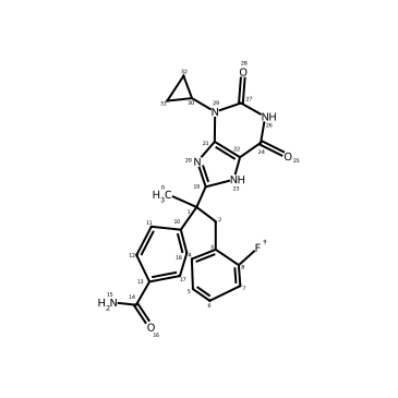 CC(Cc1ccccc1F)(c1ccc(C(N)=O)cc1)c1nc2c([nH]1)c(=O)[nH]c(=O)n2C1CC1